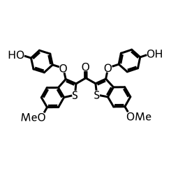 COc1ccc2c(Oc3ccc(O)cc3)c(C(=O)c3sc4cc(OC)ccc4c3Oc3ccc(O)cc3)sc2c1